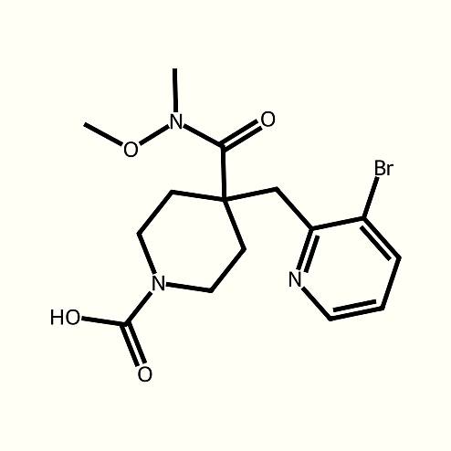 CON(C)C(=O)C1(Cc2ncccc2Br)CCN(C(=O)O)CC1